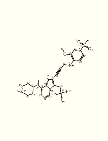 COc1cc(S(C)(=O)=O)ccc1NCC#Cc1nc2c(NC3CCNCC3)cccn2c1CC(F)(F)F